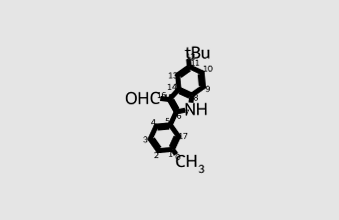 Cc1cccc(-c2[nH]c3ccc(C(C)(C)C)cc3c2C=O)c1